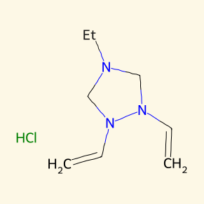 C=CN1CN(CC)CN1C=C.Cl